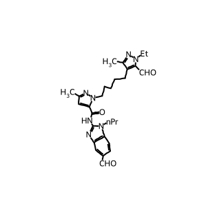 CCCn1c(NC(=O)c2cc(C)nn2CCCCCc2c(C)nn(CC)c2C=O)nc2cc(C=O)ccc21